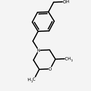 CC1CN(Cc2ccc(CO)cc2)CC(C)O1